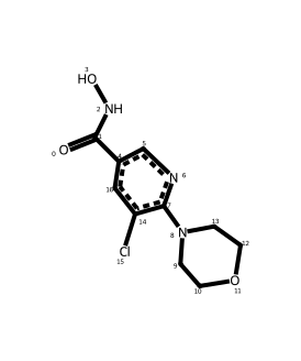 O=C(NO)c1cnc(N2CCOCC2)c(Cl)c1